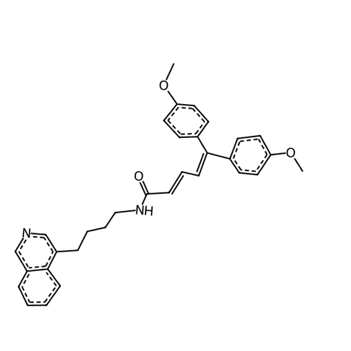 COc1ccc(C(=CC=CC(=O)NCCCCc2cncc3ccccc23)c2ccc(OC)cc2)cc1